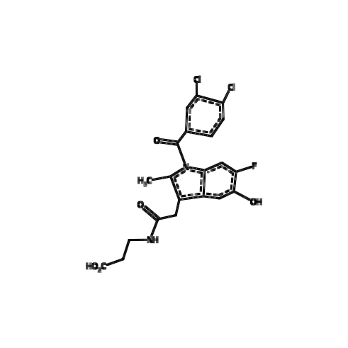 Cc1c(CC(=O)NCCC(=O)O)c2cc(O)c(F)cc2n1C(=O)c1ccc(Cl)c(Cl)c1